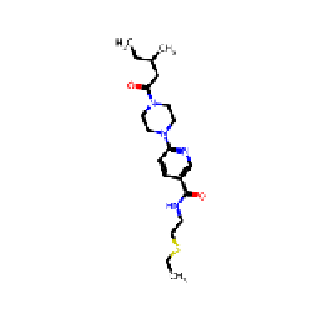 CCSCCNC(=O)c1ccc(N2CCN(C(=O)CC(C)CC)CC2)nc1